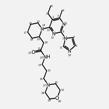 CCc1c(C)nc(-n2ccnc2)nc1N1CCCCC1CC(=O)NCCCN1CCOCC1